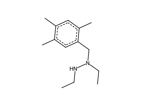 CCNN(CC)Cc1cc(C)c(C)cc1C